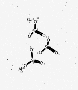 O=[Si]([O-])[O-].O=[Si]([O-])[O-].O=[Si]([O-])[O-].[Al+3].[Ga+3]